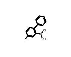 OB(O)c1cc(F)ccc1-c1ccccc1